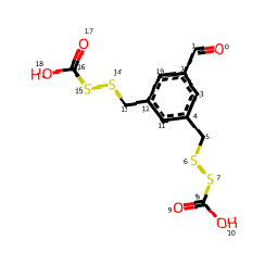 O=Cc1cc(CSSC(=O)O)cc(CSSC(=O)O)c1